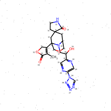 CC1=C(C23COCC(CC4(CCNC4=O)C2)N3CC(O)c2cnc(-n3cnnn3)cn2)COC1=O